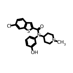 CN1CCC(N(C(=O)c2cc3ccc(Cl)cc3s2)c2cccc(O)c2)CC1